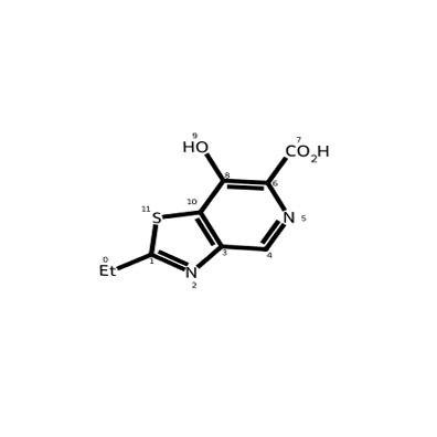 CCc1nc2cnc(C(=O)O)c(O)c2s1